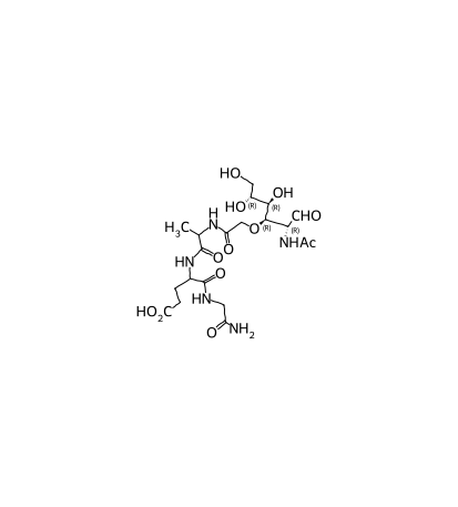 CC(=O)N[C@@H](C=O)[C@@H](OCC(=O)NC(C)C(=O)NC(CCC(=O)O)C(=O)NCC(N)=O)[C@H](O)[C@H](O)CO